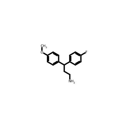 COc1ccc(C(CCN)c2ccc(F)cc2)cc1